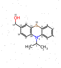 CC(C)N1c2ccccc2Sc2cc(CO)ccc21